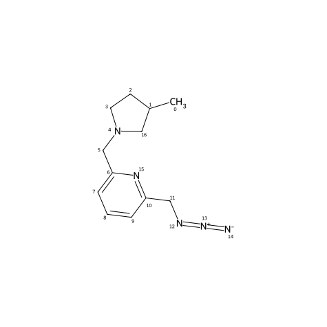 CC1CCN(Cc2cccc(CN=[N+]=[N-])n2)C1